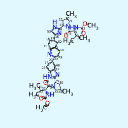 COC(=O)N[C@H](C(=O)N1C[C@@H](C)CC1c1nc(-c2ccc3nc(-c4ccc5[nH]c([C@@H]6C[C@H](C)CN6C(=O)[C@@H](NC(=O)OC)C(C)C)nc5c4)ccc3c2)c[nH]1)C(C)C